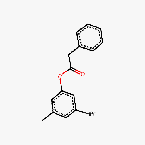 Cc1cc(OC(=O)Cc2ccccc2)cc(C(C)C)c1